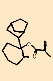 C=C(C)C(=O)OC1(C2CC3CCC2C3)CCCCC1C